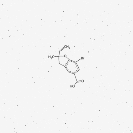 C=CC1(C)Cc2cc(C(=O)O)cc(Br)c2O1